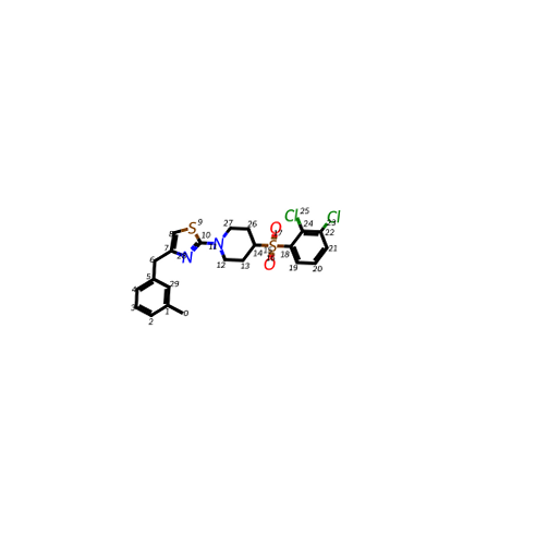 Cc1cccc(Cc2csc(N3CCC(S(=O)(=O)c4cccc(Cl)c4Cl)CC3)n2)c1